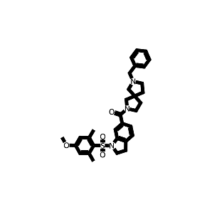 COc1cc(C)c(S(=O)(=O)N2CCc3ccc(C(=O)N4CCC5(CCN(Cc6ccccc6)C5)C4)cc32)c(C)c1